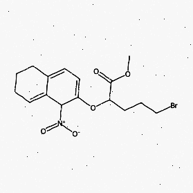 COC(=O)C(CCCBr)OC1=CC=C2CCCC=C2C1[N+](=O)[O-]